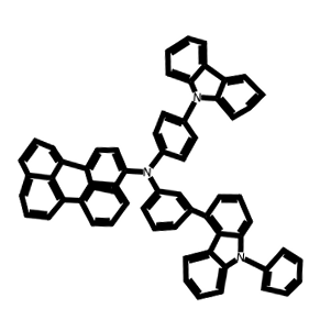 c1ccc(-c2cccc3cccc(-c4ccc(N(c5ccc(-n6c7ccccc7c7ccccc76)cc5)c5cccc(-c6cccc7c6c6ccccc6n7-c6ccccc6)c5)cc4)c23)cc1